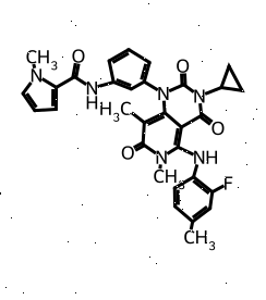 Cc1ccc(Nc2c3c(=O)n(C4CC4)c(=O)n(-c4cccc(NC(=O)c5cccn5C)c4)c3c(C)c(=O)n2C)c(F)c1